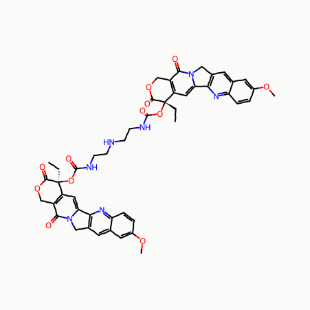 CC[C@@]1(OC(=O)NCCNCCNC(=O)O[C@]2(CC)C(=O)OCc3c2cc2n(c3=O)Cc3cc4cc(OC)ccc4nc3-2)C(=O)OCc2c1cc1n(c2=O)Cc2cc3cc(OC)ccc3nc2-1